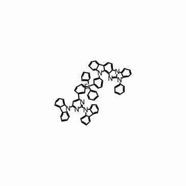 c1ccc(-n2c3ccccc3n3c4ccc5c6ccccc6n(-c6cccc([Si](c7ccccc7)(c7ccccc7)c7cccc(-c8cc(-n9c%10ccccc%10c%10ccccc%109)nc(-n9c%10ccccc%10c%10ccccc%109)n8)c7)c6)c5c4nc23)cc1